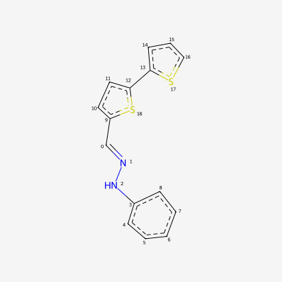 C(=NNc1ccccc1)c1ccc(-c2cccs2)s1